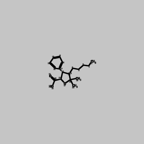 CCCCCN1[C@@H](c2ccccc2)[C@H](C(=O)O)OC1(C)C